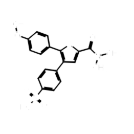 COc1ccc(-c2sc(C(=O)N(C)C)cc2-c2ccc(S(C)(=O)=O)cc2)cc1